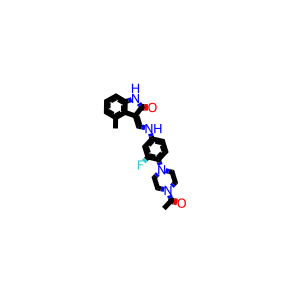 CC(=O)N1CCN(c2ccc(NC=C3C(=O)Nc4cccc(C)c43)cc2F)CC1